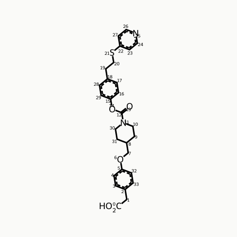 O=C(O)Cc1ccc(OCC2CCN(C(=O)Oc3ccc(CCSc4ccncc4)cc3)CC2)cc1